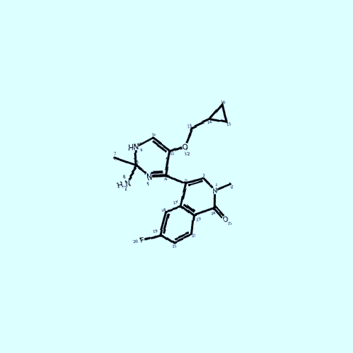 Cn1cc(C2=NC(C)(N)NC=C2OCC2CC2)c2cc(F)ccc2c1=O